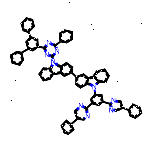 c1ccc(-c2cnc(-c3cc(-c4ncc(-c5ccccc5)cn4)cc(-n4c5ccccc5c5cc(-c6ccc7c(c6)c6ccccc6n7-c6nc(-c7ccccc7)nc(-c7cc(-c8ccccc8)cc(-c8ccccc8)c7)n6)ccc54)c3)nc2)cc1